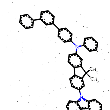 CC1(C)c2cc(N(c3ccccc3)c3ccc(-c4cccc(-c5ccccc5)c4)cc3)ccc2-c2ccc(-n3c4ccccc4c4ccccc43)cc21